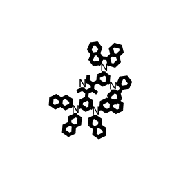 Cc1nc(C)c(-c2cc(-n3c4ccccc4c4ccccc43)cc(-n3c4ccc5ccccc5c4c4c5ccccc5ccc43)c2)c(C)c1-c1cc(N(c2ccc3ccccc3c2)c2ccc3ccccc3c2)cc(N(c2ccc3ccccc3c2)c2ccc3ccccc3c2)c1